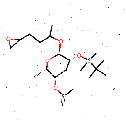 CC(CCC1CO1)O[C@@H]1O[C@@H](C)[C@H](O[SiH](C)C)C[C@H]1O[Si](C)(C)C(C)(C)C